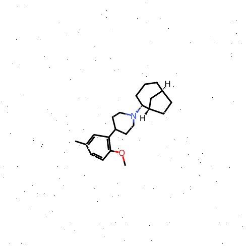 COc1ccc(C)cc1C1CCN([C@H]2CCC[C@H]3CC[C@H]2C3)CC1